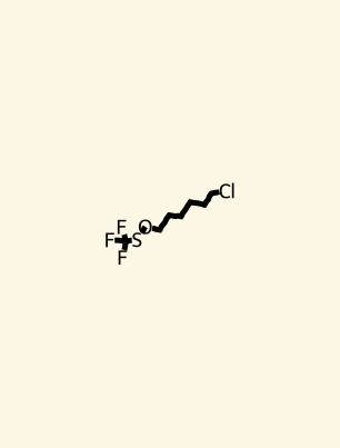 FC(F)(F)SOCCCCCCCl